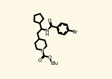 CC(C)(C)OC(=O)N1CCC(CC(NC(=O)c2ccc(Br)cc2)C2CCCC2)CC1